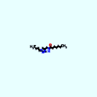 CCCCCCC(=O)NCc1cn(CCCC)nn1